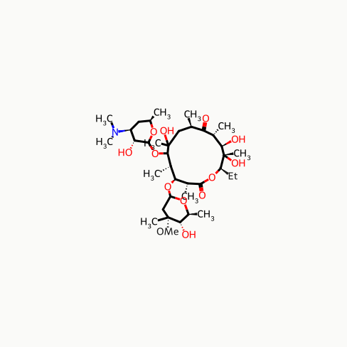 CC[C@H]1OC(=O)[C@H](C)[C@@H](OC2C[C@@](C)(OC)[C@@H](O)[C@H](C)O2)[C@H](C)C(OC2O[C@H](C)C[C@H](N(C)C)[C@H]2O)C(C)(O)C[C@@H](C)C(=O)[C@H](C)[C@@H](O)[C@]1(C)O